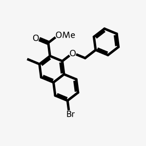 COC(=O)c1c(C)cc2cc(Br)ccc2c1OCc1ccccc1